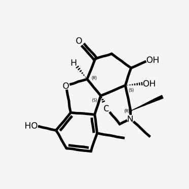 Cc1ccc(O)c2c1[C@]13CCN(C)[C@H](C)[C@]1(O)C(O)CC(=O)[C@@H]3O2